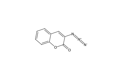 [N-]=[N+]=Nc1cc2ccccc2oc1=O